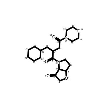 O=C1COC2CCN(C(=O)C(CC(=O)N3CCOCC3)CC3CCCCC3)C12